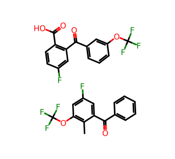 Cc1c(OC(F)(F)F)cc(F)cc1C(=O)c1ccccc1.O=C(O)c1ccc(F)cc1C(=O)c1cccc(OC(F)(F)F)c1